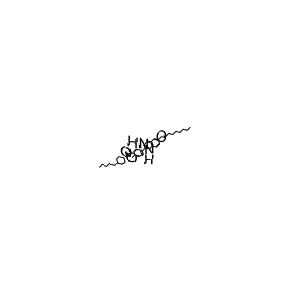 CCCCCCCCOc1ccc2c(c1)CNC(c1ccc(OC(=O)[C@H]3CC[C@H](CCCCC)CC3)cc1)N2